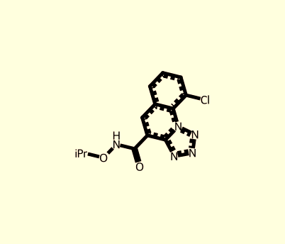 CC(C)ONC(=O)c1cc2cccc(Cl)c2n2nnnc12